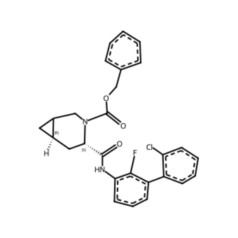 O=C(Nc1cccc(-c2ccccc2Cl)c1F)[C@@H]1C[C@H]2CC2CN1C(=O)OCc1ccccc1